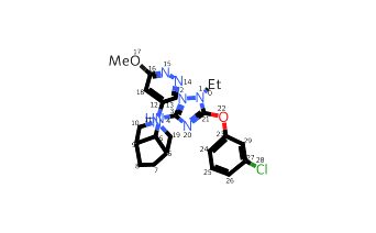 CCn1nc(NC2C3CCC2CN(c2cnnc(OC)c2)C3)nc1Oc1cccc(Cl)c1